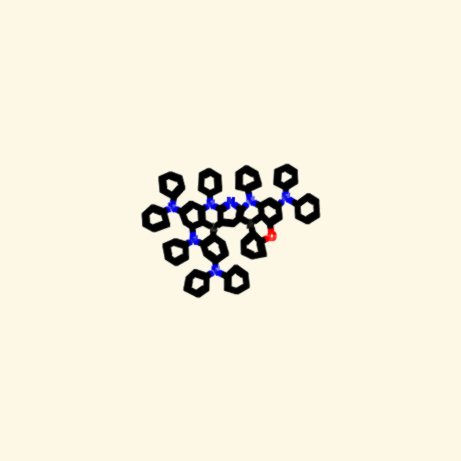 C1=CCC(N(C2=CC3C4B(c5ccccc5OC4=C2)c2cc4c(nc2N3c2ccccc2)N(C2C=CC=CC2)C2=C3B4c4ccc(N(C5=CCCC=C5)c5ccccc5)cc4N(c4ccccc4)C3CC(N(c3ccccc3)c3ccccc3)=C2)c2ccccc2)C=C1